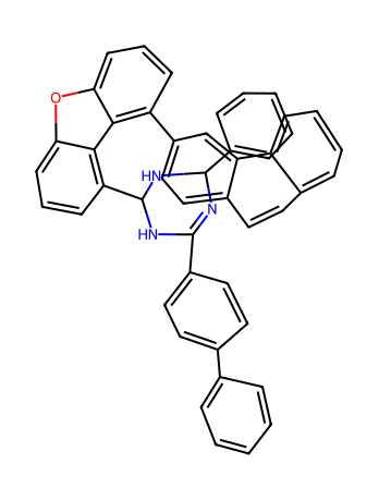 c1ccc(-c2ccc(C3=NC(c4ccccc4)NC(c4cccc5oc6cccc(-c7ccc8ccc9ccccc9c8c7)c6c45)N3)cc2)cc1